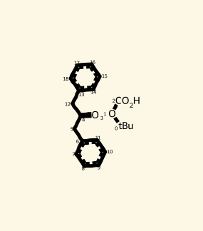 CC(C)(C)OC(=O)O.O=C(Cc1ccccc1)Cc1ccccc1